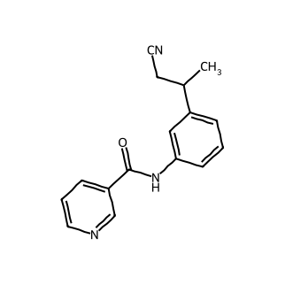 CC(CC#N)c1cccc(NC(=O)c2cccnc2)c1